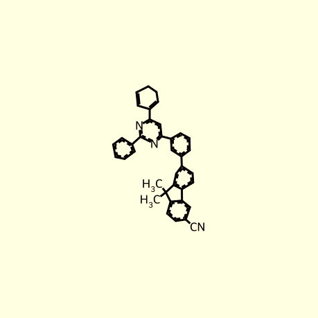 CC1(C)c2ccc(C#N)cc2-c2ccc(-c3cccc(-c4cc(C5=CCCC=C5)nc(-c5ccccc5)n4)c3)cc21